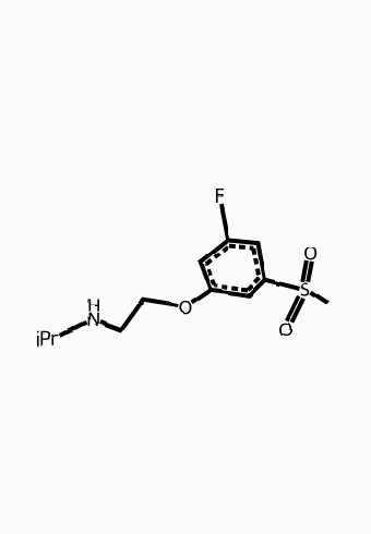 CC(C)NCCOc1cc(F)cc(S(C)(=O)=O)c1